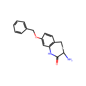 NC1CCc2ccc(OCc3ccccc3)cc2NC1=O